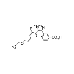 C=C(/C(F)=C\C=C/COCC1CC1)c1c(-c2cc(C(=O)O)ccn2)ncn1C